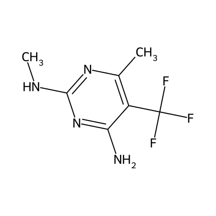 CNc1nc(C)c(C(F)(F)F)c(N)n1